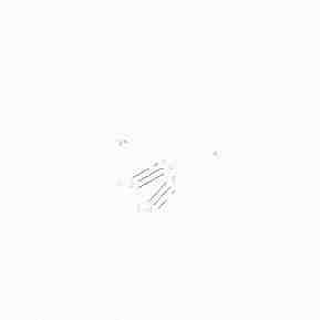 N#[SiH].N#[SiH].[O-2].[O-2].[O-2].[Y+3].[Y+3]